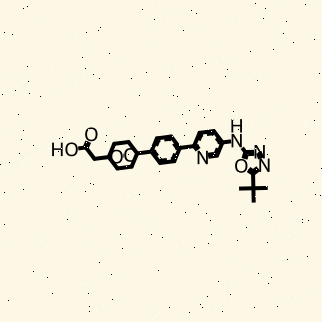 CC(C)(C)c1nnc(Nc2ccc(-c3ccc(C45CCC(CC(=O)O)(CC4)OC5)cc3)nc2)o1